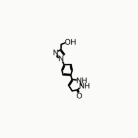 O=C1CC=C(c2ccc(-n3cnc(CO)c3)cc2)NN1